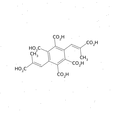 CC(=Cc1c(C(=O)O)c(C(=O)O)c(C=C(C)C(=O)O)c(C(=O)O)c1C(=O)O)C(=O)O